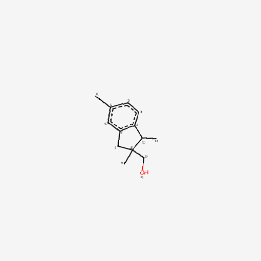 Cc1ccc2c(c1)CC(C)(CO)C2C